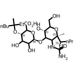 CCCCC(C)(CC)O[C@@H]1C(C(=O)O)O[C@@H](OC2C(NC(N)=O)[C@](C)([C@@H](CC)CCC)OC(CO)[C@H]2O)C(O)C1O